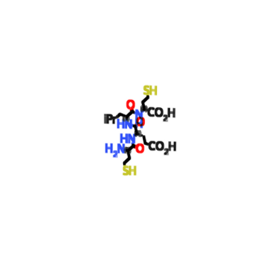 CC(C)C[C@H](NC(=O)[C@H](CCC(=O)O)NC(=O)[C@H](N)CCS)C(=O)N[C@H](CCS)C(=O)O